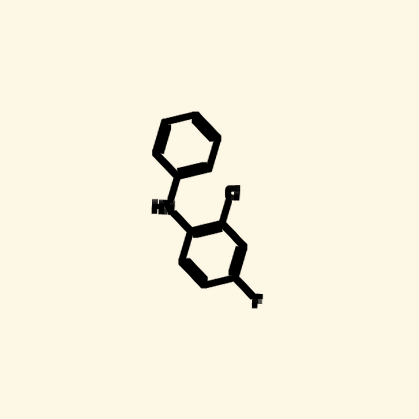 Fc1ccc(Nc2ccccc2)c(Cl)c1